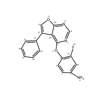 Nc1ccc(Oc2ncnc3occ(-c4ccccc4)c23)c(F)c1